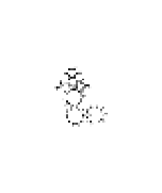 C1CCCCCCCCC1.C1CCCCCCCCC1.C1CCCCCCCCC1.C=COC(=O)c1ccccc1C(=O)OC=C